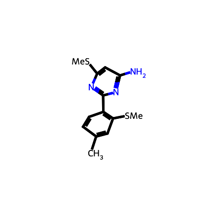 CSc1cc(N)nc(-c2ccc(C)cc2SC)n1